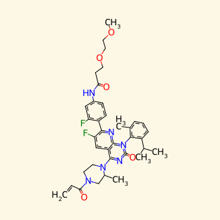 C=CC(=O)N1CCN(c2nc(=O)n(-c3c(C)cccc3C(C)C)c3nc(-c4ccc(NC(=O)CCOCCOC)cc4F)c(F)cc23)C(C)C1